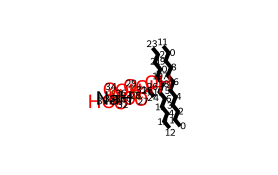 CCCCCCCCCCCC.CCCCCCCCCCCC.CCO.O=S(=O)(O)O.O=S(=O)(O)O.[NaH]